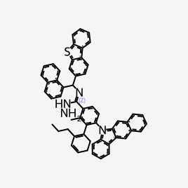 CCCC1=C(c2c(-n3c4ccccc4c4cc5ccccc5cc43)ccc(/C(=N/C(c3ccc4c(c3)sc3ccccc34)c3cccc4ccccc34)NN)c2C)CCC=C1